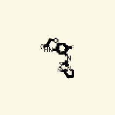 O=C1COc2cc(F)c(N=c3snc4n3CCC4)cc2N1